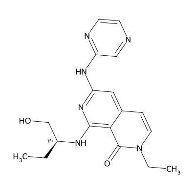 CC[C@@H](CO)Nc1nc(Nc2cnccn2)cc2ccn(CC)c(=O)c12